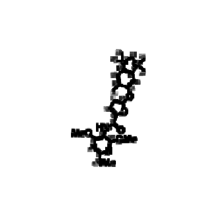 CNc1nc(OC)c(NC(=O)c2ccc(Oc3cc4c(cc3C)[Si](C)(C)C[Si]4(C)C)o2)c(OC)n1